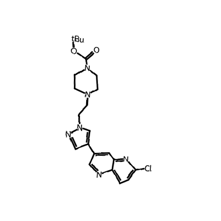 CC(C)(C)OC(=O)N1CCN(CCn2cc(-c3cnc4ccc(Cl)nc4c3)cn2)CC1